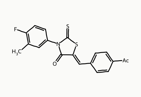 CC(=O)c1ccc(/C=C2\SC(=S)N(c3ccc(F)c(C)c3)C2=O)cc1